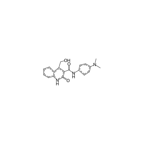 CN(C)c1ccc(NC(=O)c2c(CO)c3ccccc3[nH]c2=O)cc1